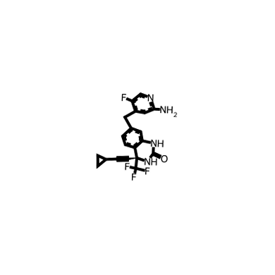 Nc1cc(Cc2ccc3c(c2)NC(=O)N[C@]3(C#CC2CC2)C(F)(F)F)c(F)cn1